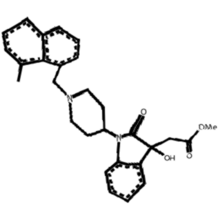 COC(=O)CC1(O)C(=O)N(C2CCN(Cc3cccc4cccc(C)c34)CC2)c2ccccc21